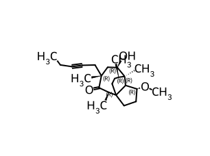 CCC#CC[C@]1(C)C[C@@H](O)[C@@]2(C)C3[C@H](OC)CCC3(CC[C@H]2C)[C@@H](C)C1=O